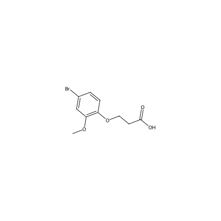 COc1cc(Br)ccc1OCCC(=O)O